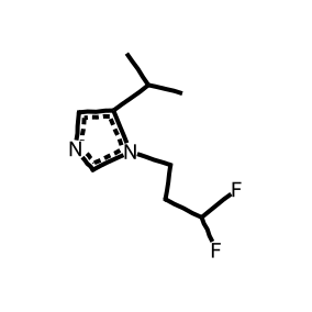 CC(C)c1cncn1CCC(F)F